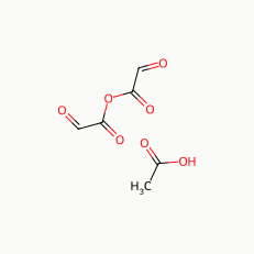 CC(=O)O.O=CC(=O)OC(=O)C=O